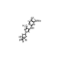 CNc1nc(Nc2cn(C3C[C@@H]4[C@H](C3)C4(F)F)nc2C)ncc1C(F)(F)F